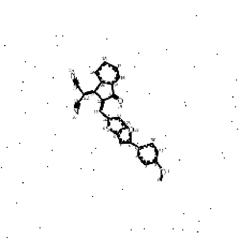 COc1ccc(-c2cc3sc(/C=C4\C(=O)c5ccccc5C4=C(C#N)C#N)cc3o2)cc1